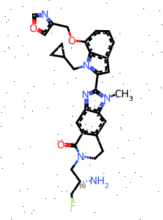 Cn1c(-c2cc3cccc(OCc4cocn4)c3n2CC2CC2)nc2cc3c(cc21)CCN(C[C@H](N)CF)C3=O